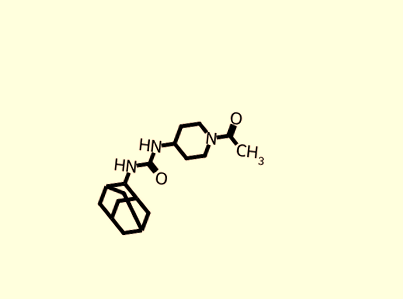 CC(=O)N1CCC(NC(=O)NC2C3CC4CC(C3)CC2C4)CC1